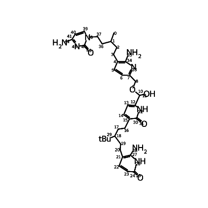 CC(CCc1ccc(COC(O)c2ccc(CCC(CCc3ccc(=O)[nH]c3N)C(C)(C)C)c(=O)[nH]2)nc1N)CCn1ccc(N)nc1=O